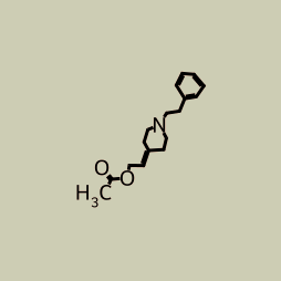 CC(=O)OCC=C1CCN(CCc2ccccc2)CC1